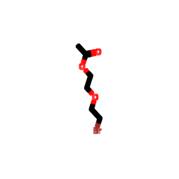 CC(=O)OCCOCCBr